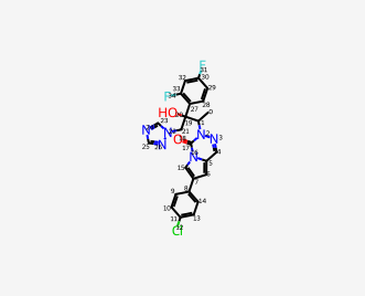 CC(n1ncc2cc(-c3ccc(Cl)cc3)cn2c1=O)C(O)(Cn1cncn1)c1ccc(F)cc1F